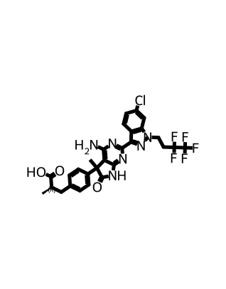 C[C@H](Cc1ccc(C2(C)C(=O)Nc3nc(-c4nn(CCC(F)(F)C(F)(F)F)c5cc(Cl)ccc45)nc(N)c32)cc1)C(=O)O